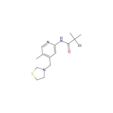 CCC(C)(C)C(=O)Nc1cc(CN2CCSC2)c(C)cn1